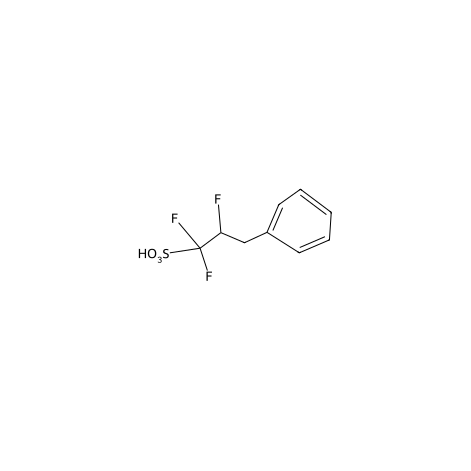 O=S(=O)(O)C(F)(F)C(F)Cc1ccccc1